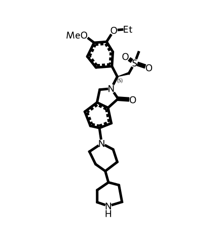 CCOc1cc([C@@H](CS(C)(=O)=O)N2Cc3ccc(N4CCC(C5CCNCC5)CC4)cc3C2=O)ccc1OC